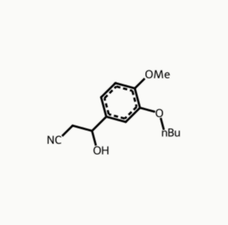 CCCCOc1cc(C(O)CC#N)ccc1OC